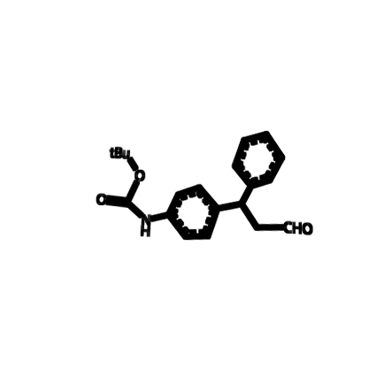 CC(C)(C)OC(=O)Nc1ccc(C(CC=O)c2ccccc2)cc1